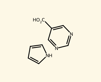 O=C(O)c1cncnc1.c1cc[nH]c1